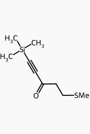 CSCCC(=O)C#C[Si](C)(C)C